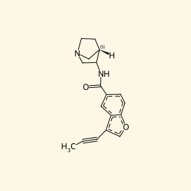 CC#Cc1coc2ccc(C(=O)NC3CN4CC[C@H]3C4)cc12